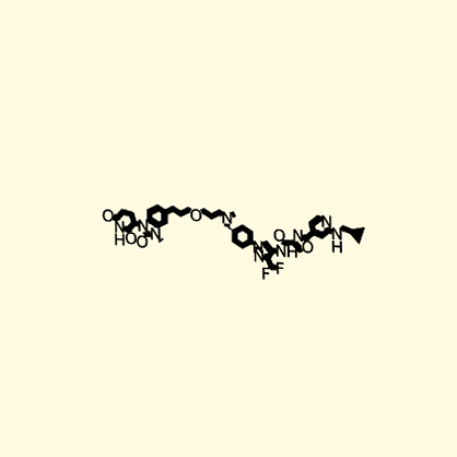 CN(CCCOCCCc1ccc2c(c1)n(C)c(=O)n2C1CCC(=O)NC1=O)C[C@H]1CC[C@H](n2cc(NC(=O)c3coc(-c4ccnc(NCC5CC5)c4)n3)c(C(F)F)n2)CC1